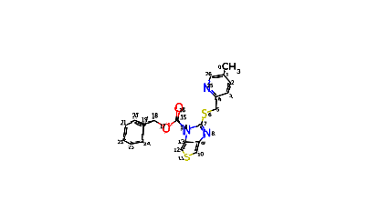 Cc1ccc(CSc2nc3cscc3n2C(=O)OCc2ccccc2)nc1